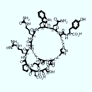 C[C@@H](O)[C@@H]1NC(=O)[C@@H]2CCc3cn(nn3)CCCC(C(=O)N[C@@H](Cc3ccc(O)cc3)C(=O)O)NC(=O)[C@H](CCC(N)=O)NC(=O)[C@H](Cc3c[nH]c4ccccc34)NC(=O)[C@H](CCCNC(N)=O)NC(=O)[C@H](CSSC[C@H](NC(=O)CN)C(=O)N2)NC(=O)[C@H](CCCNC(=N)N)NC(=O)C2CCCN2C(=O)[C@H](CC(=O)O)NC1=O